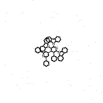 c1ccc(-c2cc(-c3c(-c4ccccc4)c(-n4c5ccccc5c5ccccc54)nc(-n4c5ccccc5c5ccccc54)c3-n3c4ccccc4c4ccccc43)cc(-c3ccccc3)n2)cc1